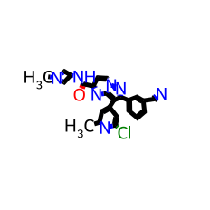 Cc1cc(-c2c(-c3cccc(C#N)c3)nn3ccc(C(=O)NC4CN(C)C4)nc23)cc(Cl)n1